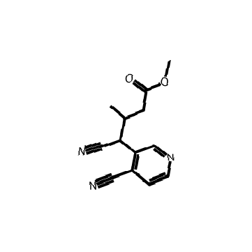 COC(=O)CC(C)C(C#N)c1cnccc1C#N